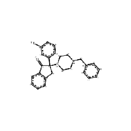 O=C1c2ccccc2CC1(c1cccc(F)c1)N1CCN(Cc2ccccc2)CC1